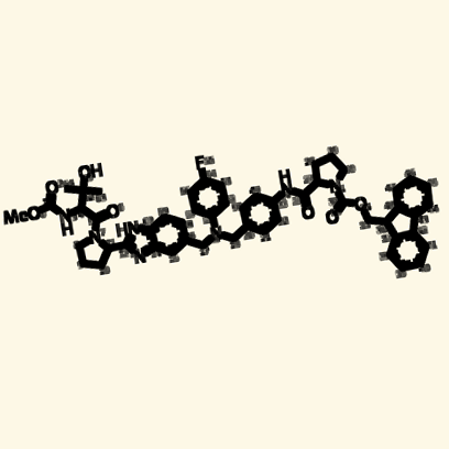 COC(=O)NC(C(=O)N1CCCC1c1nc2cc(CN(Cc3ccc(NC(=O)C4CCCN4C(=O)OCC4c5ccccc5-c5ccccc54)cc3)c3ccc(F)cc3)ccc2[nH]1)C(C)(C)O